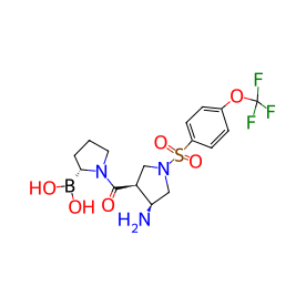 N[C@@H]1CN(S(=O)(=O)c2ccc(OC(F)(F)F)cc2)C[C@@H]1C(=O)N1CCC[C@H]1B(O)O